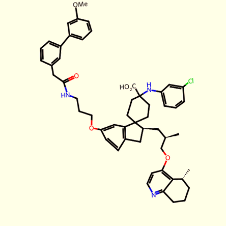 COc1cccc(-c2cccc(CC(=O)NCCCOc3ccc4c(c3)C3(CCC(Nc5cccc(Cl)c5)(C(=O)O)CC3)[C@@H](C[C@@H](C)COc3ccnc5c3[C@H](C)CCC5)C4)c2)c1